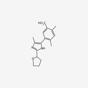 Cc1cc(C)c(-c2[nH]c(C3CCCO3)nc2C)cc1C(=O)O